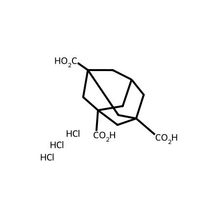 Cl.Cl.Cl.O=C(O)C12CC3CC(C(=O)O)(C1)CC(C(=O)O)(C3)C2